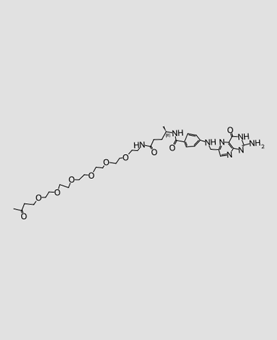 CC(=O)CCOCCOCCOCCOCCOCCOCCNC(=O)CC[C@@H](C)NC(=O)c1ccc(NCc2cnc3nc(N)[nH]c(=O)c3n2)cc1